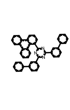 c1ccc(-c2cccc(-c3nc(-c4cccc(-c5ccccc5)c4)nc(-c4cccc5c6ccccc6c6ccccc6c45)n3)c2)cc1